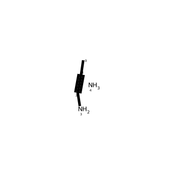 CC#CN.N